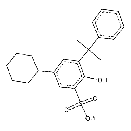 CC(C)(c1ccccc1)c1cc(C2CCCCC2)cc(S(=O)(=O)O)c1O